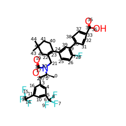 C[C@H]1[C@@H](c2cc(C(F)(F)F)cc(C(F)(F)F)c2)OC(=O)N1CC1=C(c2ccc(F)c(-c3ccc(C(=O)O)cc3)c2)CCC(C)(C)C1